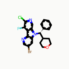 Fc1c(Cl)ncc2c1c1ncc(Br)cc1n2[C@H](c1ccccc1)C1CCOCC1